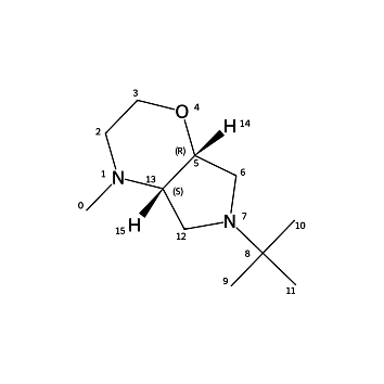 CN1CCO[C@@H]2CN(C(C)(C)C)C[C@@H]21